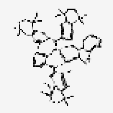 Cc1cc2c(cc1N1c3cc4oc5ccccc5c4cc3B3c4c(cccc41)-c1cc4c(cc1N3c1ccc3c(c1)C(C)(C)CCC3(C)C)C(C)(C)CCC4(C)C)C(C)(C)CCC2(C)C